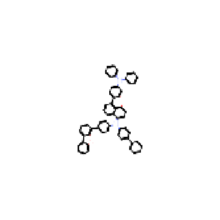 c1ccc(-c2ccc(N(c3ccc(-c4cccc5c4oc4ccccc45)cc3)c3ccc4c5c(cccc35)-c3ccc(N(c5ccccc5)c5ccccc5)cc3O4)cc2)cc1